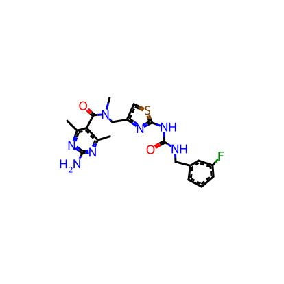 Cc1nc(N)nc(C)c1C(=O)N(C)Cc1csc(NC(=O)NCc2cccc(F)c2)n1